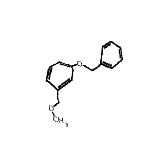 COCc1cccc(OCc2ccccc2)c1